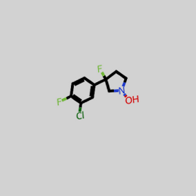 ON1CCC(F)(c2ccc(F)c(Cl)c2)C1